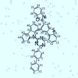 c1ccc(-c2ccc(-c3nc(-c4cccc5sc6cc(-c7nc8ccccc8o7)ccc6c45)nc(-n4c5ccccc5c5ccccc54)n3)cc2)cc1